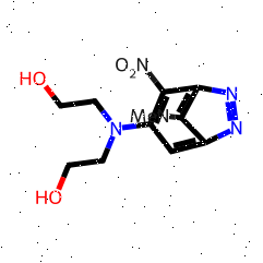 CNc1c2cc(N(CCO)CCO)c([N+](=O)[O-])c1N=N2